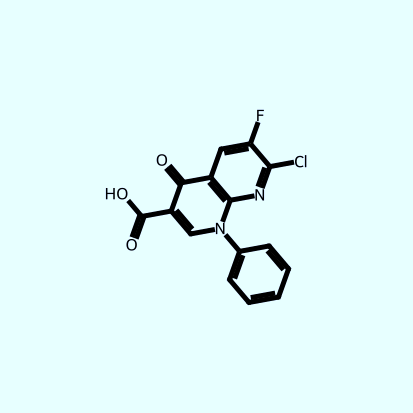 O=C(O)c1cn(-c2ccccc2)c2nc(Cl)c(F)cc2c1=O